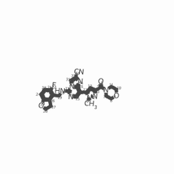 Cn1nc(C(=O)N2CCOCC2)cc1-c1cnc(NCc2c(F)ccc3c2CCO3)n2cc(C#N)nc12